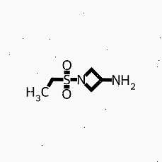 CCS(=O)(=O)N1CC(N)C1